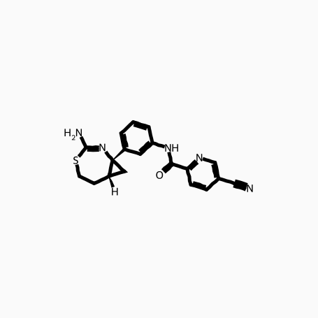 N#Cc1ccc(C(=O)Nc2cccc([C@@]34C[C@@H]3CCSC(N)=N4)c2)nc1